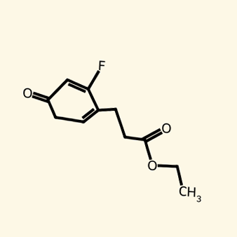 CCOC(=O)CCC1=CCC(=O)C=C1F